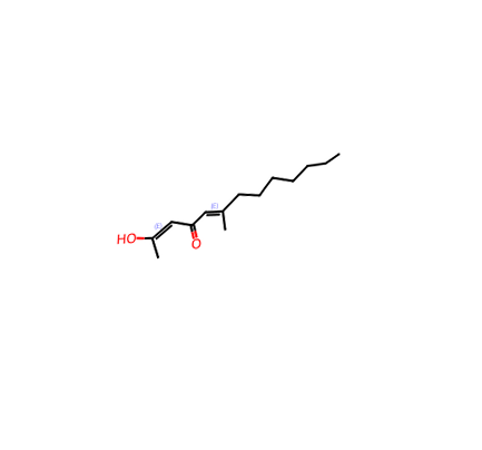 CCCCCCC/C(C)=C/C(=O)/C=C(\C)O